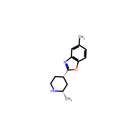 Cc1ccc2oc([C@H]3CCN[C@@H](C)C3)nc2c1